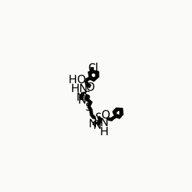 O=C(Cc1ccccc1)Nc1nnc(CCSCc2nnc(NC(=O)C(O)c3cccc(Cl)c3)s2)s1